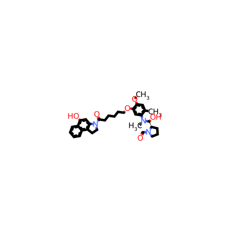 COc1cc(C)c(N(C)C(O)[C@@H]2CCCN2C=O)cc1OCCCCCC(=O)N1CCc2c1cc(O)c1ccccc21